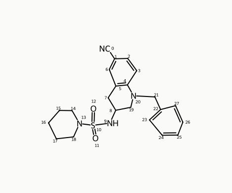 N#Cc1ccc2c(c1)CC(NS(=O)(=O)N1CCCCC1)CN2Cc1ccccc1